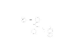 Cc1ncn2ccnc2c1C(=O)NC(C)c1oc2cccc(C#Cc3cnn(C)c3)c2c(=O)c1-c1ccccc1